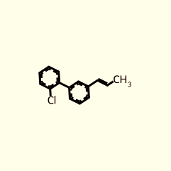 CC=Cc1cccc(-c2ccccc2Cl)c1